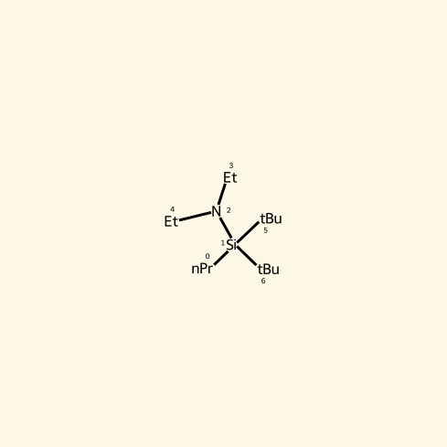 CCC[Si](N(CC)CC)(C(C)(C)C)C(C)(C)C